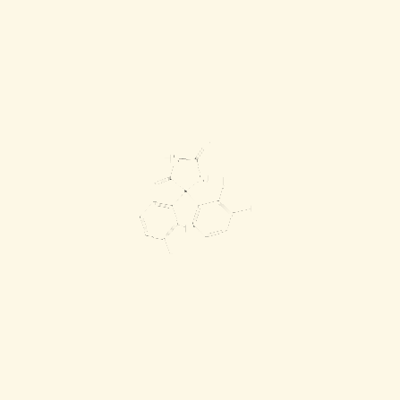 CCc1cccc(C2(c3cccc(CC)c3CC)NC(=O)NC2=O)c1CC